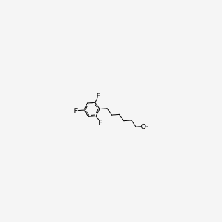 [O]CCCCCCc1c(F)cc(F)cc1F